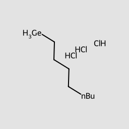 CCCCCCC[CH2][GeH3].Cl.Cl.Cl